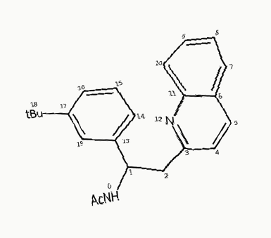 CC(=O)NC(Cc1ccc2ccccc2n1)c1cccc(C(C)(C)C)c1